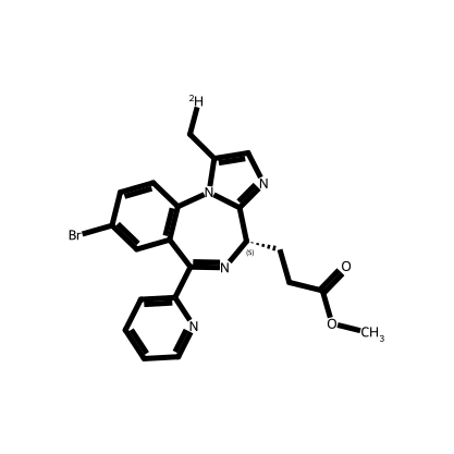 [2H]Cc1cnc2n1-c1ccc(Br)cc1C(c1ccccn1)=N[C@H]2CCC(=O)OC